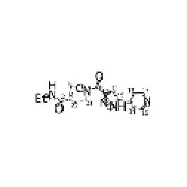 CCNC(=O)C1CCN(C(=O)c2cc(-c3ccncc3)[nH]n2)CC1